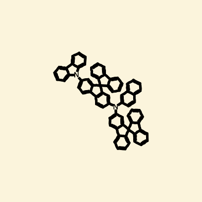 c1ccc2c(c1)-c1ccccc1C21c2ccccc2-c2ccc(N(c3ccc4c(c3)C3(c5ccccc5-c5ccccc53)c3cc(-n5c6ccccc6c6ccccc65)ccc3-4)c3ccc4ccccc4c3)cc21